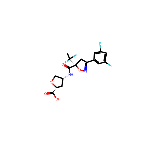 CC(F)(F)[C@]1(C(=O)N[C@H]2CO[C@@H](C(=O)O)C2)CC(c2cc(F)cc(F)c2)=NO1